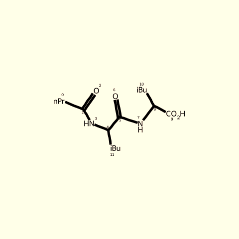 CCCC(=O)NC(C(=O)NC(C(=O)O)C(C)CC)C(C)CC